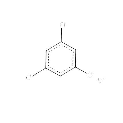 [Li+].[O-]c1cc(Cl)cc(Cl)c1